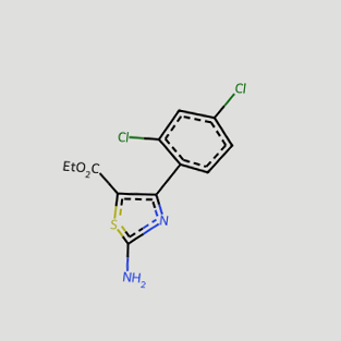 CCOC(=O)c1sc(N)nc1-c1ccc(Cl)cc1Cl